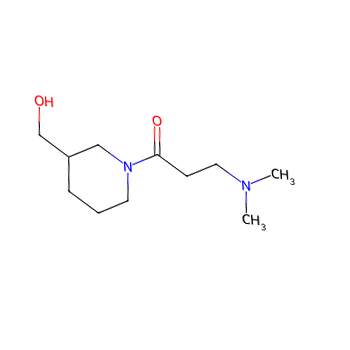 CN(C)CCC(=O)N1CCCC(CO)C1